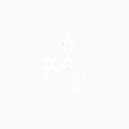 CCc1cccc(F)c1Oc1nc(NS(=O)(=O)CCC(F)(F)F)cc(-c2ccc(=O)n(C)c2)n1